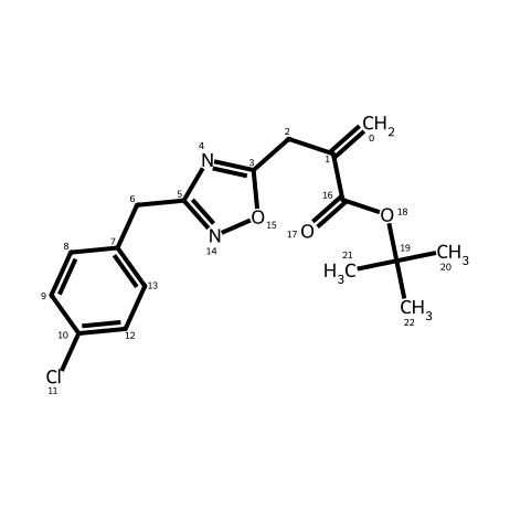 C=C(Cc1nc(Cc2ccc(Cl)cc2)no1)C(=O)OC(C)(C)C